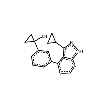 N#CC1(c2cccc(-c3ncnc4[nH]nc(C5CC5)c34)c2)CC1